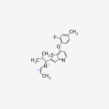 C/C=C\N=C(\c1cc2nccc(Oc3ccc(C)cc3F)c2s1)C(C)C